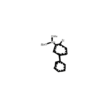 CCc1ccc(-c2ccccc2)cc1[SiH](OC)OC